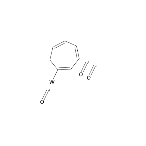 [C]=O.[C]=O.[C]=O.[W][C]1=CC=CC=CC1